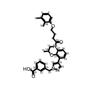 Cc1cccc(OCCCC(=O)N2CC(C)Oc3c(-c4cnn(Cc5cccc(C(=O)O)c5)c4)cccc32)c1C